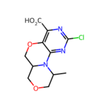 CC1COCC2COc3c(C(=O)O)nc(Cl)nc3N12